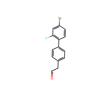 O=CCc1ccc(-c2ccc(Br)cc2F)cc1